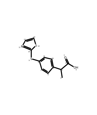 CC(C(=O)O)c1ccc(Sc2nccs2)cc1